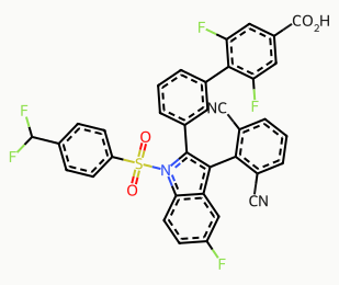 N#Cc1cccc(C#N)c1-c1c(-c2cccc(-c3c(F)cc(C(=O)O)cc3F)c2)n(S(=O)(=O)c2ccc(C(F)F)cc2)c2ccc(F)cc12